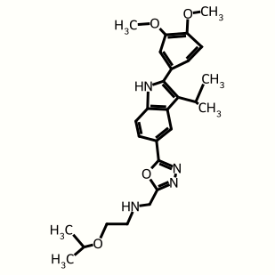 COc1ccc(-c2[nH]c3ccc(-c4nnc(CNCCOC(C)C)o4)cc3c2C(C)C)cc1OC